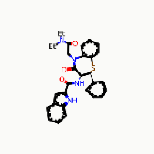 CCN(CC)C(=O)CN1C(=O)[C@@H](NC(=O)c2cc3ccccc3[nH]2)[C@H](c2ccccc2)Sc2ccccc21